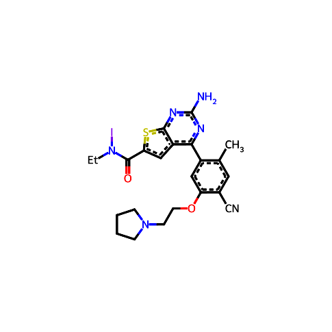 CCN(I)C(=O)c1cc2c(-c3cc(OCCN4CCCC4)c(C#N)cc3C)nc(N)nc2s1